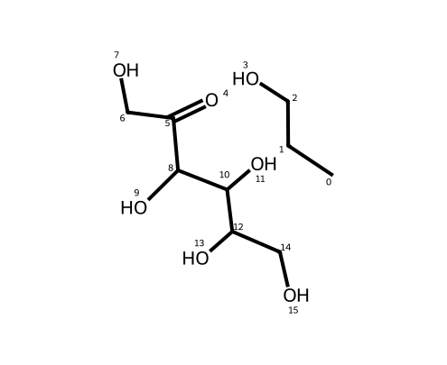 CCCO.O=C(CO)C(O)C(O)C(O)CO